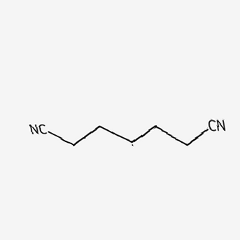 N#CCC[CH]CCC#N